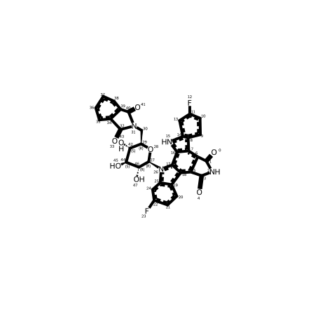 O=C1NC(=O)c2c1c1c3ccc(F)cc3[nH]c1c1c2c2ccc(F)cc2n1[C@@H]1O[C@H](CN2C(=O)c3ccccc3C2=O)[C@@H](O)[C@H](O)[C@H]1O